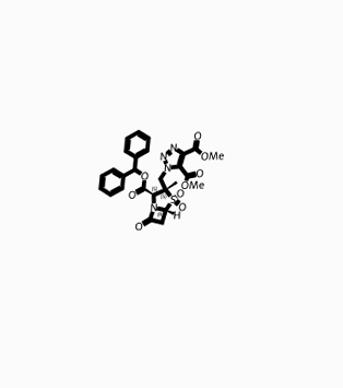 COC(=O)c1nnn(C[C@@]2(C)[C@H](C(=O)OC(c3ccccc3)c3ccccc3)N3C(=O)C[C@H]3S2(=O)=O)c1C(=O)OC